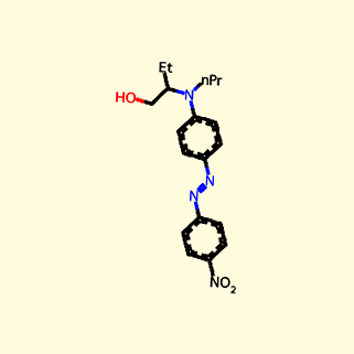 CCCN(c1ccc(N=Nc2ccc([N+](=O)[O-])cc2)cc1)C(CC)CO